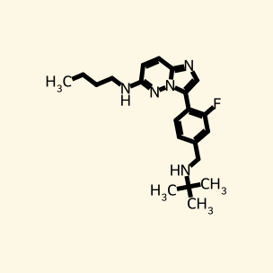 CCCCNc1ccc2ncc(-c3ccc(CNC(C)(C)C)cc3F)n2n1